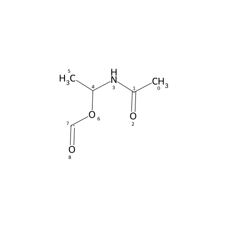 CC(=O)NC(C)O[C]=O